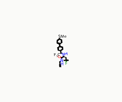 C#CCNC(=O)[C@H](CC(C)(C)F)N[C@@H](c1ccc(-c2ccc(SC)cc2)cc1)C(F)(F)F